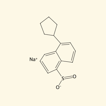 O=S([O-])c1cccc2c(C3CCCC3)cccc12.[Na+]